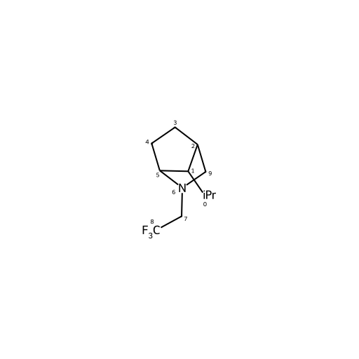 CC(C)C1C2CCC1N(CC(F)(F)F)C2